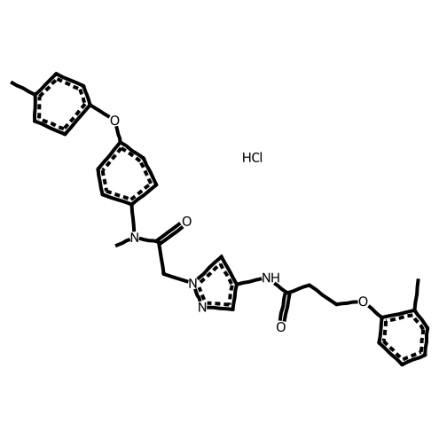 Cc1ccc(Oc2ccc(N(C)C(=O)Cn3cc(NC(=O)CCOc4ccccc4C)cn3)cc2)cc1.Cl